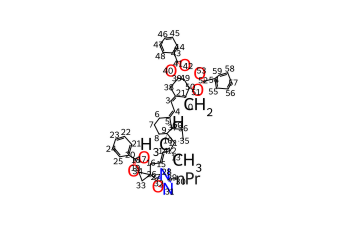 C=C1/C(=C\C=C2/CCC[C@]3(C)[C@@H]([C@H](C)/C=C/[C@@H](OC(=O)c4ccccc4)C4(c5nc(CCC)no5)CC4)CC[C@@H]23)C[C@@H](OC(=O)c2ccccc2)C[C@@H]1OC(=O)c1ccccc1